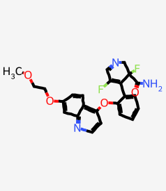 COCCOc1ccc2c(Oc3ccccc3C3=C(F)C=NCC3(F)C(N)=O)ccnc2c1